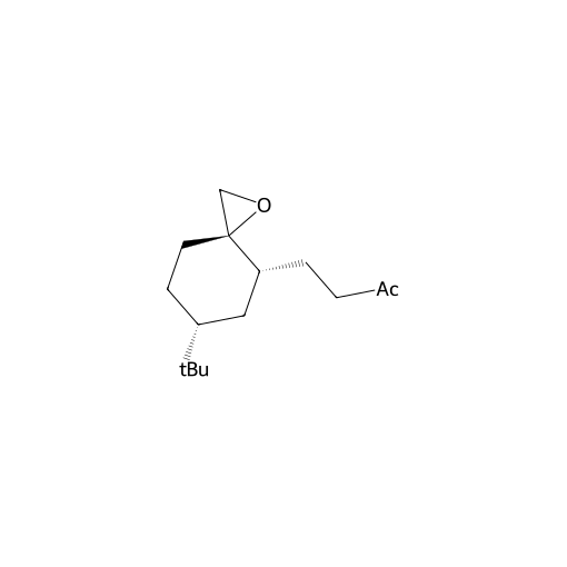 CC(=O)CC[C@@H]1C[C@H](C(C)(C)C)CC[C@]12CO2